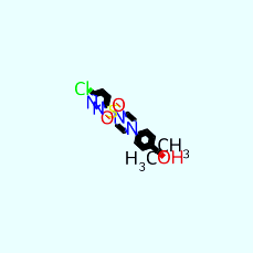 CC(C)(O)c1ccc(N2CCN(S(=O)(=O)c3ccc(Cl)nn3)CC2)cc1